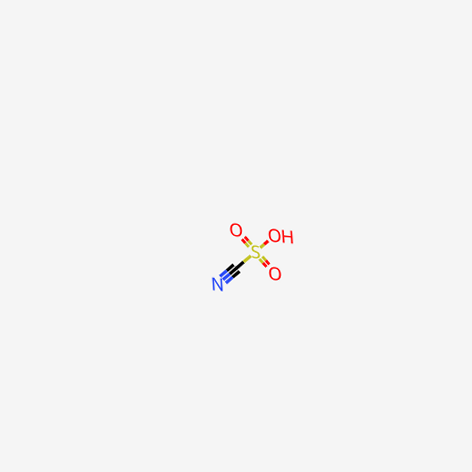 N#CS(=O)(=O)O